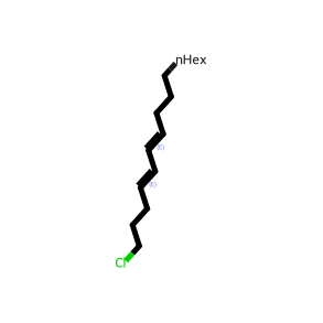 CCCCCCCCC/C=C/C=C/CCCCl